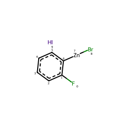 Fc1cccc[c]1[Zn][Br].I